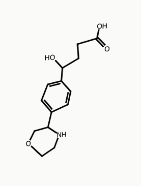 O=C(O)CCC(O)c1ccc(C2COCCN2)cc1